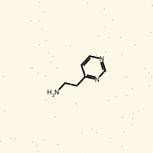 NCCc1ccncn1